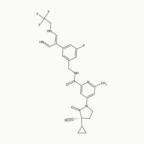 Cc1cc(N2CC[C@@](C#N)(C3CC3)C2=O)cc(C(=O)NCc2cc(F)cc(/C(C=N)=C/NCC(F)(F)F)c2)n1